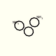 C1CCCCCCCCC1.C1CCCCCCCCC1.C1CCCCCCCCC1.N.N